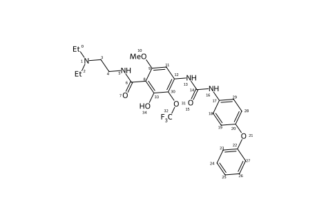 CCN(CC)CCNC(=O)c1c(OC)cc(NC(=O)Nc2ccc(Oc3ccccc3)cc2)c(OC(F)(F)F)c1O